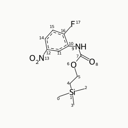 C[Si](C)(C)CCOC(=O)Nc1cc([N+](=O)[O-])ccc1F